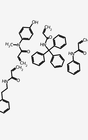 C=CC(=O)N(C)c1ccc(O)cc1.C=CC(=O)NC(c1ccccc1)(c1ccccc1)c1ccccc1.C=CC(=O)NCCc1ccccc1.C=CC(=O)Nc1ccccc1